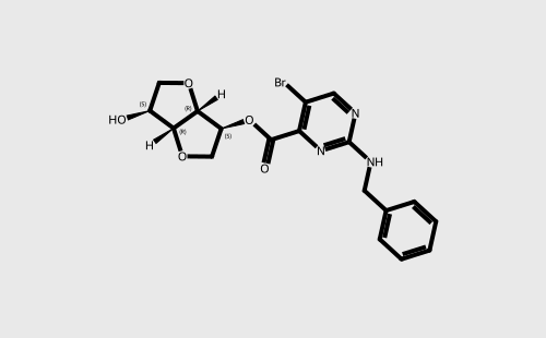 O=C(O[C@H]1CO[C@H]2[C@@H]1OC[C@@H]2O)c1nc(NCc2ccccc2)ncc1Br